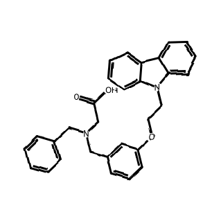 O=C(O)CN(Cc1ccccc1)Cc1cccc(OCCn2c3ccccc3c3ccccc32)c1